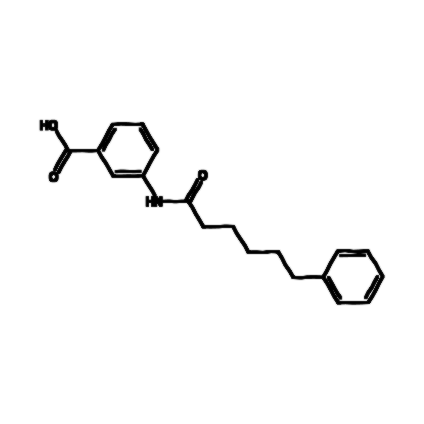 O=C(CCCCCc1ccccc1)Nc1cccc(C(=O)O)c1